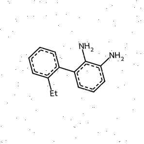 CCc1ccccc1-c1cccc(N)c1N